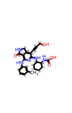 Cc1cccc(Nc2nc(NC3CCCCC3NC(=O)O)c(C#CCO)c3c2C(=O)NC3)c1